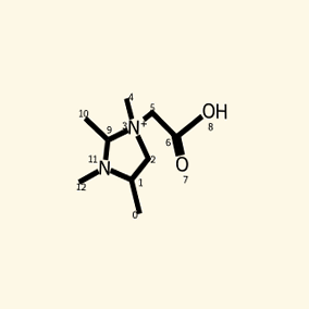 CC1C[N+](C)(CC(=O)O)C(C)N1C